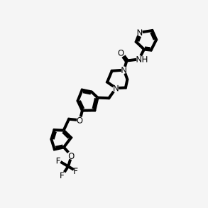 O=C(Nc1cccnc1)N1CCN(Cc2cccc(OCc3cccc(OC(F)(F)F)c3)c2)CC1